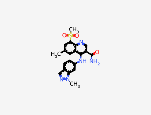 Cc1cc(S(C)(=O)=O)c2ncc(C(N)=O)c(Nc3ccc4cnn(C)c4c3)c2c1